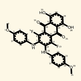 COc1ccc(Nc2c(F)c3c(c(F)c2Nc2ccc(OC)cc2)C(=O)c2c(O)ccc(O)c2C3=O)cc1